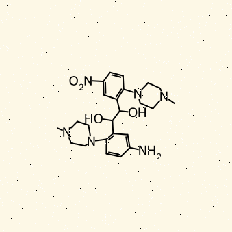 CN1CCN(c2ccc(N)cc2C(O)C(O)c2cc([N+](=O)[O-])ccc2N2CCN(C)CC2)CC1